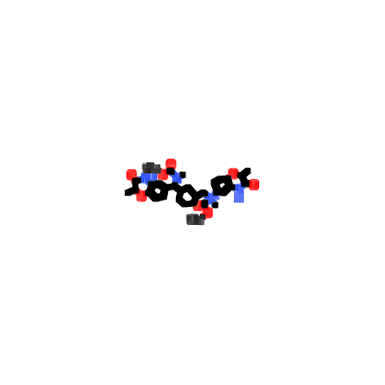 CC1Oc2ccc(C(C3CCCC(C[N+](C)(C(=O)OC(C)(C)C)c4ccc5c(c4)NC(=O)C(C)O5)C3)N(C)C(=O)OC(C)(C)C)cc2NC1=O